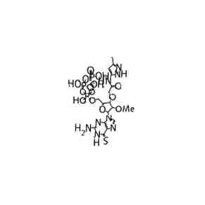 COC1C(OCC(=O)Nc2cc(C)n[nH]2)C(COP(=O)(O)OP(=O)(O)OP(=O)(O)O)OC1n1cnc2c(=S)[nH]c(N)nc21